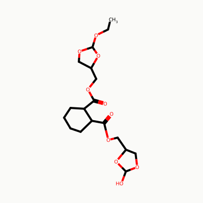 CCOC1OCC(COC(=O)C2CCCCC2C(=O)OCC2COC(O)O2)O1